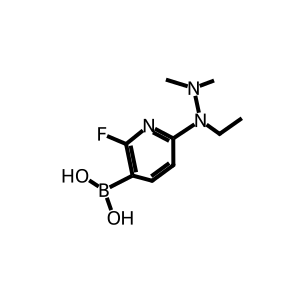 CCN(c1ccc(B(O)O)c(F)n1)N(C)C